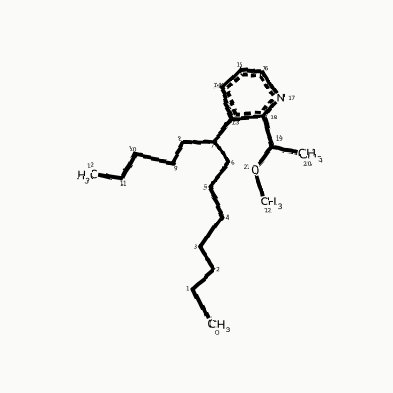 CCCCCCCC(CCCCC)c1cccnc1C(C)OC